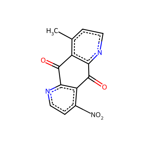 Cc1ccnc2c1C(=O)c1nccc([N+](=O)[O-])c1C2=O